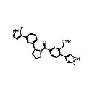 COCc1cc(C(=O)N2CCCC2c2cccc(-c3ccnn3C)c2)ccc1-c1cn[nH]c1